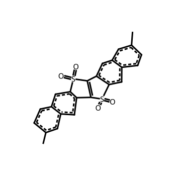 Cc1ccc2cc3c(cc2c1)C1=C(c2cc4cc(C)ccc4cc2S1(=O)=O)S3(=O)=O